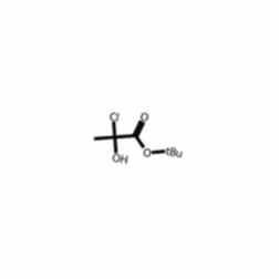 CC(C)(C)OC(=O)C(C)(O)Cl